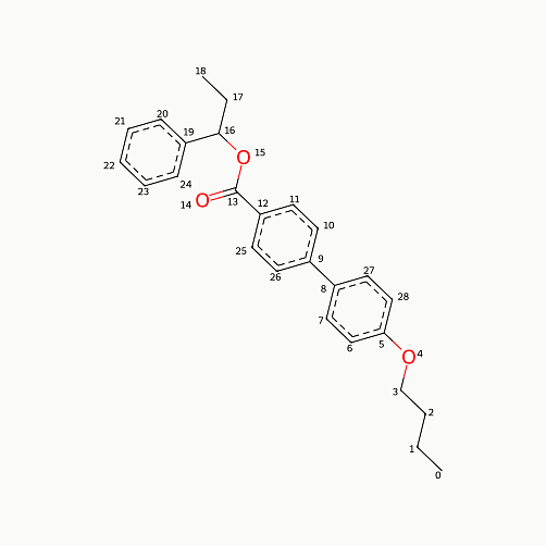 CCCCOc1ccc(-c2ccc(C(=O)OC(CC)c3ccccc3)cc2)cc1